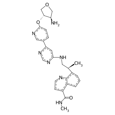 CNC(=O)c1ccnc2c([C@H](C)CNc3cc(-c4ccc(O[C@@H]5COC[C@H]5N)nc4)ncn3)cccc12